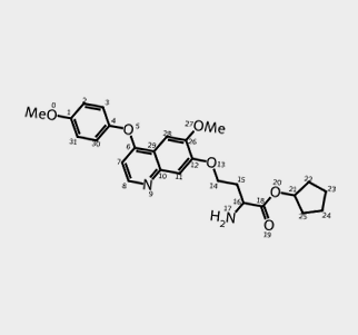 COc1ccc(Oc2ccnc3cc(OCCC(N)C(=O)OC4CCCC4)c(OC)cc23)cc1